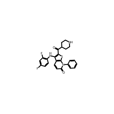 O=C(c1sc2c(ccc(=O)n2-c2ccccc2)c1Nc1ccc(F)cc1F)C1CCNCC1